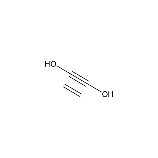 C=C.OC#CO